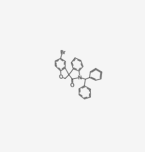 O=C1N(C(C2=CC=C=C=C2)c2ccccc2)c2ccccc2C12COc1ccc(Br)cc12